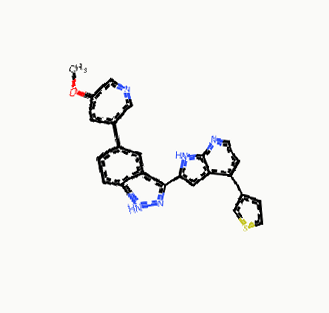 COc1cncc(-c2ccc3[nH]nc(-c4cc5c(-c6ccsc6)ccnc5[nH]4)c3c2)c1